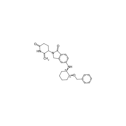 C=C1NC(=O)CCC1N1Cc2cc(N[C@@H]3CCCC[C@@H]3OCc3ccccc3)ccc2C1=O